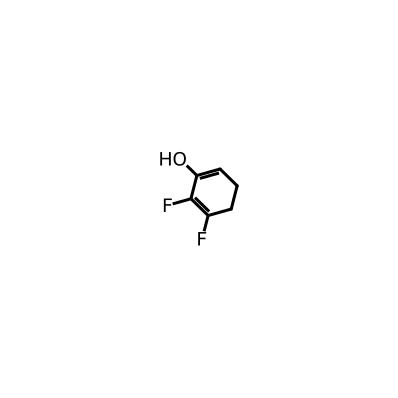 OC1=CCCC(F)=C1F